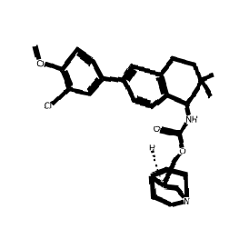 COc1ccc(-c2ccc3c(c2)CCC(C)(C)C3NC(=O)O[C@H]2CN3CCC2CC3)cc1Cl